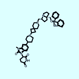 Cn1c(=O)n(C2CCC(=O)NC2=O)c2ccc(C3CCN(C4CC5(CCN(C[C@@H]6CC[C@]7(CO[Si](c8ccccc8)(c8ccccc8)C(C)(C)C)CCCN67)CC5)C4)CC3)cc21